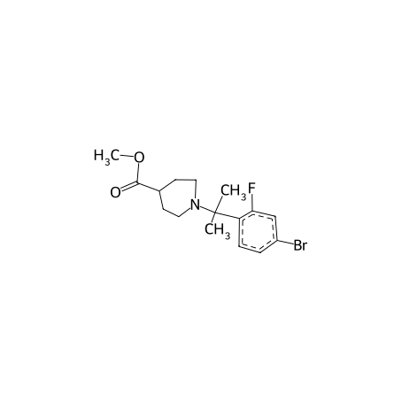 COC(=O)C1CCN(C(C)(C)c2ccc(Br)cc2F)CC1